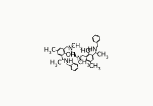 Cc1cc(CN(C)CCCN(C)Cc2cc(C)cc(C(C)NCc3ccccc3)c2O)c(O)c(C(C)NCc2ccccc2)c1